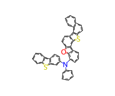 c1ccc(N(c2ccc3c(c2)sc2ccccc23)c2cccc3c2oc2ccc4c(sc5ccc6ccccc6c54)c23)cc1